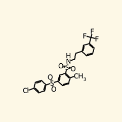 Cc1ccc(S(=O)(=O)c2ccc(Cl)cc2)cc1S(=O)(=O)NCCc1cccc(C(F)(F)F)c1